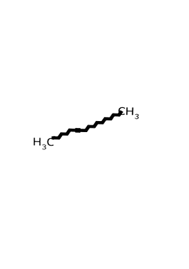 CCCCCCC#CCCCCCCCCCC